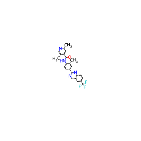 Cc1cc(C(=O)Nc2ccc(-c3ncc4cc(C(F)(F)F)ccc4n3)cc2C)c(C)cn1